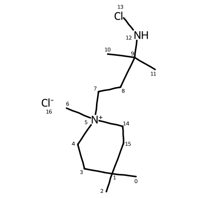 CC1(C)CC[N+](C)(CCC(C)(C)NCl)CC1.[Cl-]